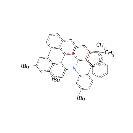 CC(C)(C)c1cc(-c2cccc3cccc(-c4ccccc4N(c4cc(C(C)(C)C)ccc4-c4ccccc4)c4cccc5c4-c4ccccc4C5(C)C)c23)cc(C(C)(C)C)c1